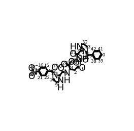 O=C(CC(NC(=O)C1NCCN1C(=O)c1ccc([N+](=O)[O-])cc1)C(=O)O)ONC(=O)C1NCCN1C(=O)c1ccccc1